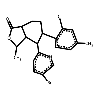 Cc1ccc(C2CCC3C(=O)OC(C)C3C2c2ccc(Br)cn2)c(Cl)c1